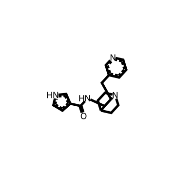 O=C(NC1C2CCN(CC2)C1Cc1cccnc1)c1cc[nH]c1